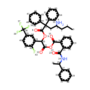 CCCC(N)CC(C(=O)OC(C(=O)OC(=O)c1ccccc1C(=O)NC(C)c1ccccc1)c1cc(C(F)(F)F)ccc1F)(c1ccccc1)c1ccccc1